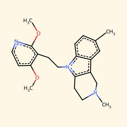 COc1ccnc(OC)c1CCn1c2c(c3cc(C)ccc31)CN(C)CC2